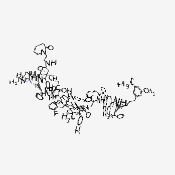 Cc1cc(C)cc(CCC[C@H](NC(=O)CNC(=O)[C@H](CC(=O)O)NC(=O)CNC(=O)[C@@H](NC(=O)[C@](C)(Cc2ccccc2F)NC(=O)[C@@H](NC(=O)CNC(=O)[C@H](C/C(=N/N)NN)NC(=O)C(C)(C)CC(=O)NCCN2CCCCC2=O)[C@@H](C)O)[C@@H](C)O)C(N)=O)c1